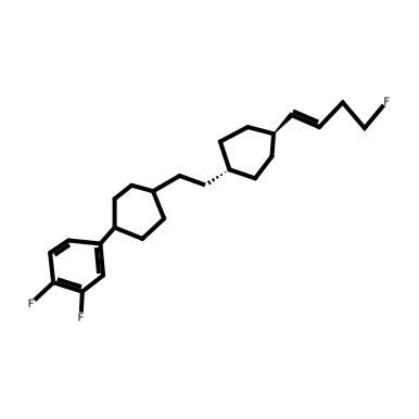 FCC/C=C/[C@H]1CC[C@H](CCC2CCC(c3ccc(F)c(F)c3)CC2)CC1